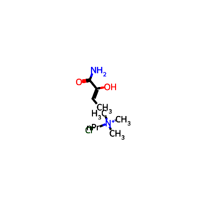 CC=C(O)C(N)=O.CCC[N+](C)(C)C.[Cl-]